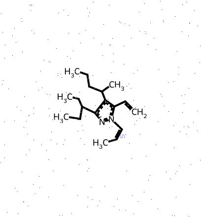 C=Cc1c(C(C)CCC)c(C(CC)CC)nn1/C=C\C